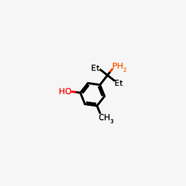 CCC(P)(CC)c1cc(C)cc(O)c1